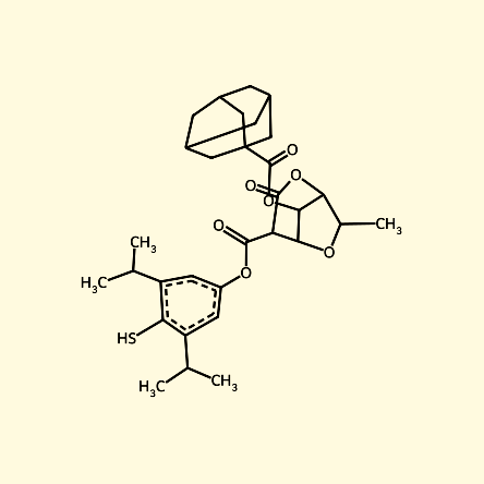 CC(C)c1cc(OC(=O)C2C(=O)OC3C(C)OC2C3OC(=O)C23CC4CC(CC(C4)C2)C3)cc(C(C)C)c1S